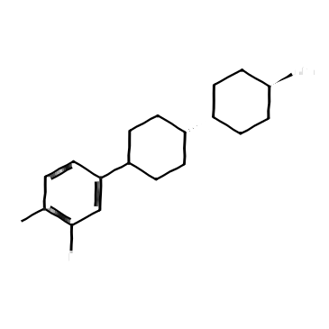 CCCC[C@H]1CC[C@H](C2CCC(c3ccc(F)c(F)c3)CC2)CC1